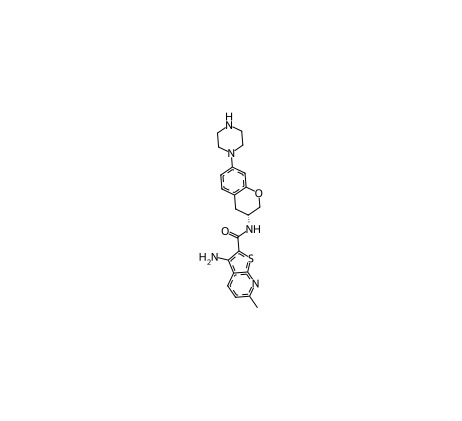 Cc1ccc2c(N)c(C(=O)N[C@H]3COc4cc(N5CCNCC5)ccc4C3)sc2n1